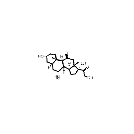 C[C@]12CC[C@@H](O)C[C@H]1CC[C@@H]1[C@@H]2C(=O)C[C@@]2(C)[C@H]1CC[C@]2(O)C(=O)CO.Cl.Cl